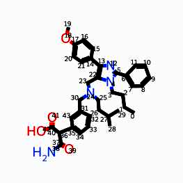 CCCCn1c(-c2ccccc2)nc(-c2ccc(OC)cc2)c1CN(CCC(C)C)Cc1cccc(C(C(N)=O)C(=O)O)c1